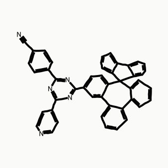 N#Cc1ccc(-c2nc(-c3ccncc3)nc(-c3ccc4c(c3)-c3ccccc3-c3ccccc3C43c4ccccc4-c4ccccc43)n2)cc1